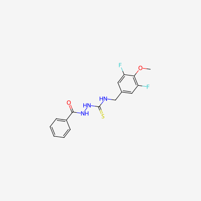 COc1c(F)cc(CNC(=S)NNC(=O)c2ccccc2)cc1F